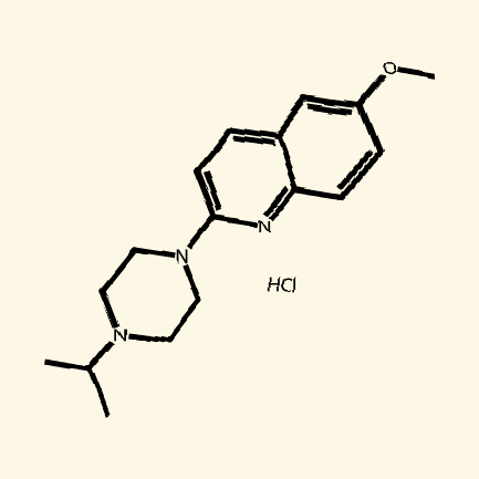 COc1ccc2nc(N3CCN(C(C)C)CC3)ccc2c1.Cl